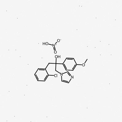 COc1ccc(C(O)(Cc2ccccc2Cl)Cn2ccnc2)cc1.O=[N+]([O-])O